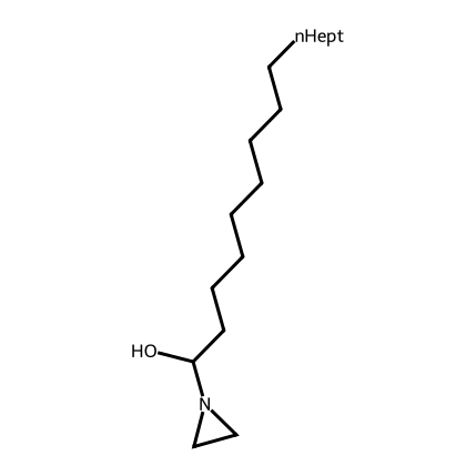 CCCCCCCCCCCCCCCC(O)N1CC1